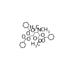 COC1OC(COC(=O)c2ccccc2)C(OC(=O)c2ccccc2)C(N(C)C)C1OC(=O)c1ccccc1